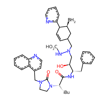 B[C@H]1CC(CN(C[C@H](O)[C@H](Cc2ccccc2)NC(=O)[C@H]([C@@H](C)CC)N2CCN(Cc3ccnc4ccccc34)C2=O)NC(=O)O)C=CC1c1ccccn1